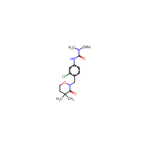 CON(C)C(=O)Nc1ccc(CN2OCCC(C)(C)C2=O)c(Cl)c1